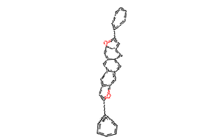 c1ccc(-c2cc3cc4cc5cc6oc(-c7ccccc7)cc6cc5cc4cc3o2)cc1